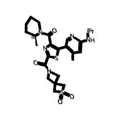 Cc1cc(NC(C)C)ncc1-c1sc(C(=O)N2CC3(C2)CS(=O)(=O)C3)nc1C(=O)N1CCCC[C@@H]1C